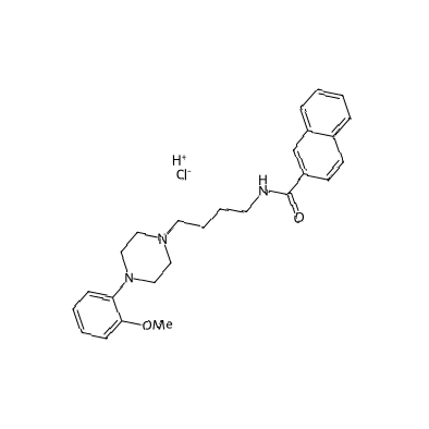 COc1ccccc1N1CCN(CCCCNC(=O)c2ccc3ccccc3c2)CC1.[Cl-].[H+]